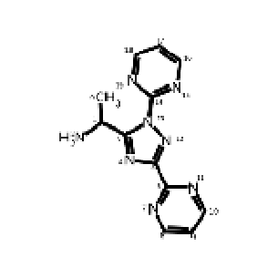 CC(N)c1nc(-c2ncccn2)nn1-c1ncccn1